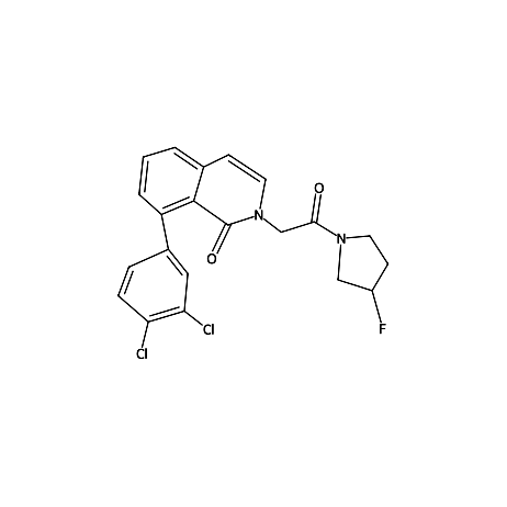 O=C(Cn1ccc2cccc(-c3ccc(Cl)c(Cl)c3)c2c1=O)N1CCC(F)C1